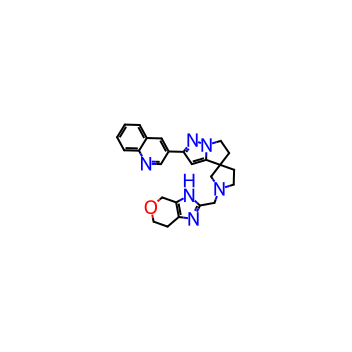 c1ccc2ncc(-c3cc4n(n3)CCC43CCN(Cc4nc5c([nH]4)COCC5)C3)cc2c1